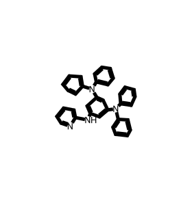 c1ccc(N(c2ccccc2)c2cc(Nc3ccccn3)cc(N(c3ccccc3)c3ccccc3)c2)cc1